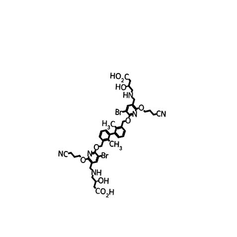 Cc1c(COc2nc(OCCCC#N)c(CNC[C@@H](O)CC(=O)O)cc2Br)cccc1-c1cccc(COc2nc(OCCCC#N)c(CNC[C@@H](O)CC(=O)O)cc2Br)c1C